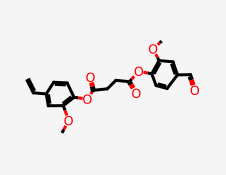 C=Cc1ccc(OC(=O)CCC(=O)Oc2ccc(C=O)cc2OC)c(OC)c1